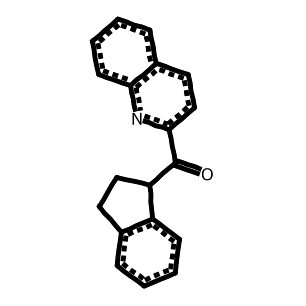 O=C(c1ccc2ccccc2n1)C1CCc2ccccc21